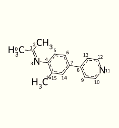 CC(C)=Nc1ccc(-c2ccncc2)cc1C